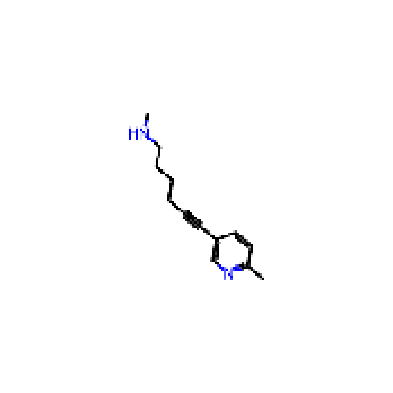 CNCCCCC#Cc1ccc(C)nc1